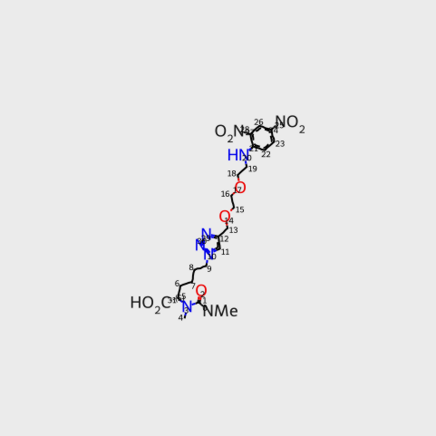 CNC(=O)N(C)[C@@H](CCCCn1cc(COCCOCCNc2ccc([N+](=O)[O-])cc2[N+](=O)[O-])nn1)C(=O)O